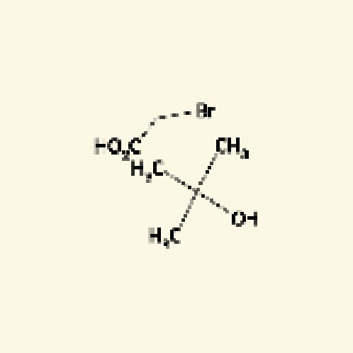 CC(C)(C)O.O=C(O)CBr